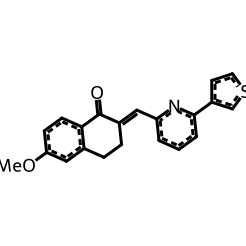 COc1ccc2c(c1)CC/C(=C\c1cccc(-c3ccsc3)n1)C2=O